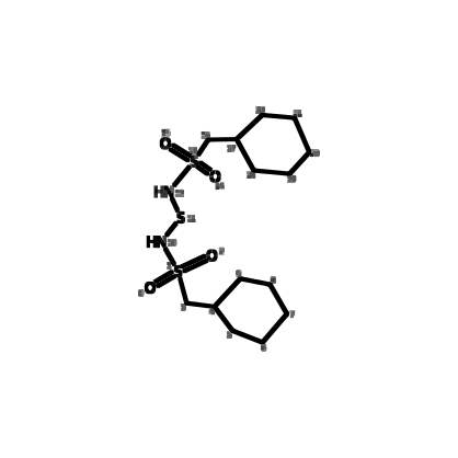 O=S(=O)(CC1CCCCC1)NSNS(=O)(=O)CC1CCCCC1